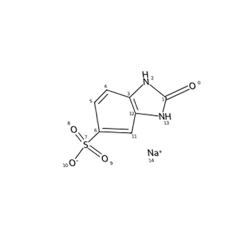 O=c1[nH]c2ccc(S(=O)(=O)[O-])cc2[nH]1.[Na+]